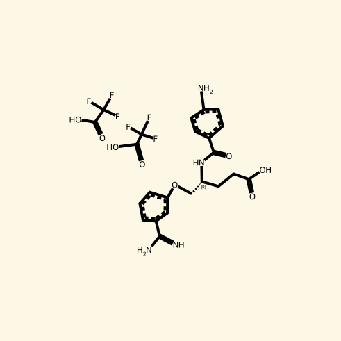 N=C(N)c1cccc(OC[C@@H](CCC(=O)O)NC(=O)c2ccc(N)cc2)c1.O=C(O)C(F)(F)F.O=C(O)C(F)(F)F